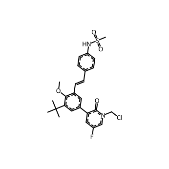 COc1c(C=Cc2ccc(NS(C)(=O)=O)cc2)cc(-c2cc(F)cn(CCl)c2=O)cc1C(C)(C)C